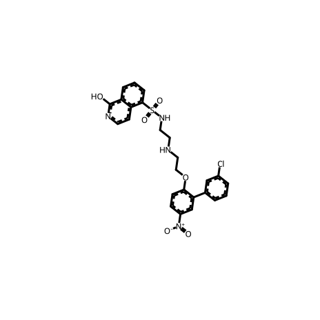 O=[N+]([O-])c1ccc(OCCNCCNS(=O)(=O)c2cccc3c(O)nccc23)c(-c2cccc(Cl)c2)c1